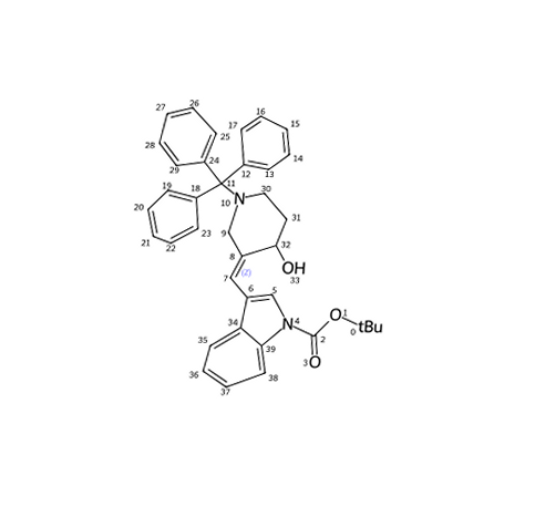 CC(C)(C)OC(=O)n1cc(/C=C2/CN(C(c3ccccc3)(c3ccccc3)c3ccccc3)CCC2O)c2ccccc21